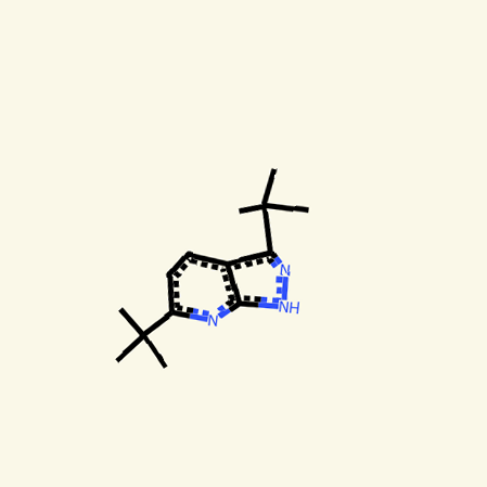 CC(C)(C)c1ccc2c(C(C)(C)C)n[nH]c2n1